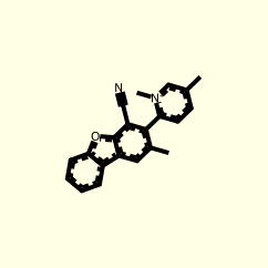 Cc1ccc(-c2c(C)cc3c(oc4ccccc43)c2C#N)[n+](C)c1